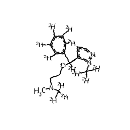 [2H]c1c([2H])c([2H])c(C([2H])(OCCN(C)C([2H])([2H])[2H])c2ccnn2C([2H])([2H])[2H])c([2H])c1[2H]